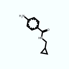 Nc1ccc(C(=O)NCC2CC2)cc1